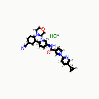 Cl.N#CC1CCC(N2CCOCC2)C(c2ccc(NC(=O)c3ccn(-c4ccc(C5CC5)cn4)c3)cn2)C1